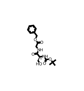 CC(C)(C)OC(=O)N[C@@H](CO)C(=O)NCC(=O)OCc1ccccc1